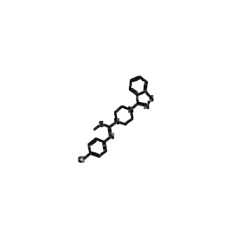 CS/C(=N\c1ccc(Cl)cc1)N1CCN(c2nsc3ccccc23)CC1